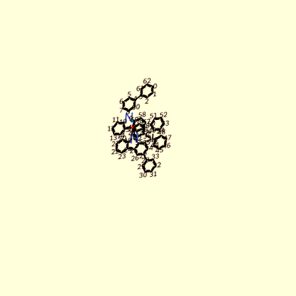 c1ccc(-c2cccc(-n3c4ccccc4c4c(-n5c6ccccc6c6cc(-c7ccccc7)cc([Si](c7ccccc7)(c7ccccc7)c7ccccc7)c65)cccc43)c2)cc1